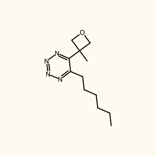 CCCCCCc1nnnnc1C1(C)COC1